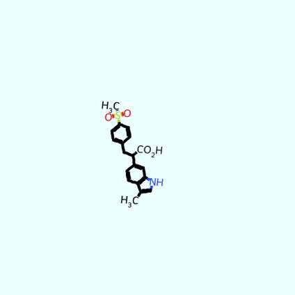 Cc1c[nH]c2cc(C(Cc3ccc(S(C)(=O)=O)cc3)C(=O)O)ccc12